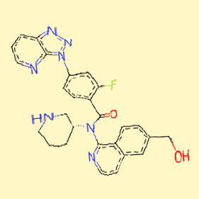 O=C(c1ccc(-n2nnc3cccnc32)cc1F)N(c1nccc2cc(CO)ccc12)[C@@H]1CCCNC1